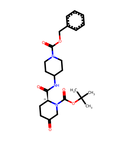 CC(C)(C)OC(=O)N1CC(=O)CC[C@H]1C(=O)NC1CCN(C(=O)OCc2ccccc2)CC1